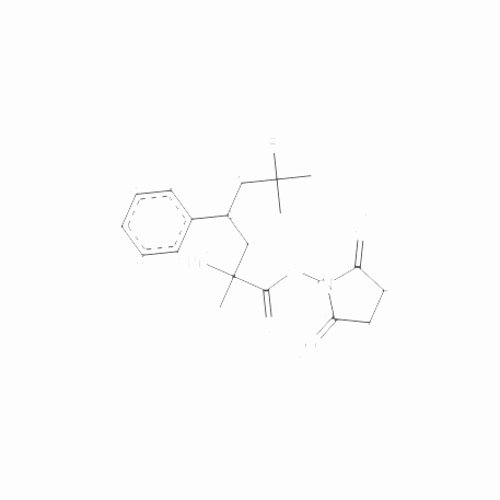 CCC(C)(C)CC(CC(C)(Br)C(=O)ON1C(=O)CCC1=O)c1ccccc1